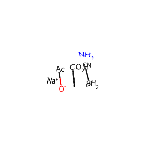 BC#N.CC(=O)O.CC(=O)[O-].N.[Na+]